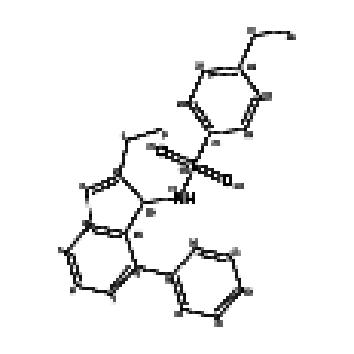 CCC1=Cc2cccc(-c3ccccc3)c2C1NS(=O)(=O)c1ccc(CC)cc1